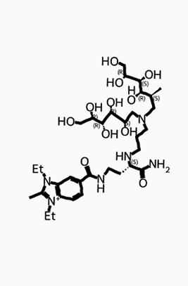 CCn1c(C)[n+](CC)c2ccc(C(=O)NCC[C@H](NCCCN(C[C@H](C)[C@@H](O)[C@H](O)[C@H](O)CO)C[C@H](O)[C@@H](O)[C@H](O)[C@H](O)CO)C(N)=O)cc21